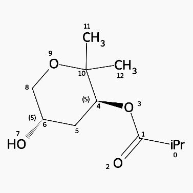 CC(C)C(=O)O[C@H]1C[C@H](O)COC1(C)C